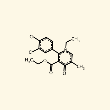 CCOC(=O)c1c(-c2ccc(Cl)c(Cl)c2)n(CC)cc(C)c1=O